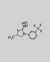 CC1CN(c2cccc(C(F)(F)F)c2)C(=N)S1.Cl